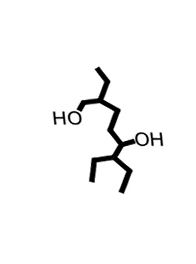 CCC(CO)CCC(O)C(CC)CC